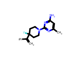 C=C(C(C)C)C1(F)CCN(c2nc(C)cc(N)n2)CC1